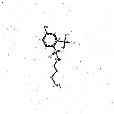 NCCCNS(=O)(=O)c1ccc(F)cc1C(F)(F)F